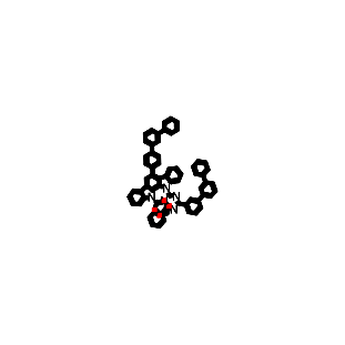 c1ccc(-c2cccc(-c3ccc(-c4cc5c6ccccc6n(-c6ccccc6)c5c5c4c4ccccc4n5-c4nc(-c5ccccc5)nc(-c5cccc(-c6cccc(-c7ccccc7)c6)c5)n4)cc3)c2)cc1